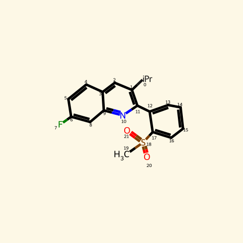 CC(C)c1cc2ccc(F)cc2nc1-c1ccccc1S(C)(=O)=O